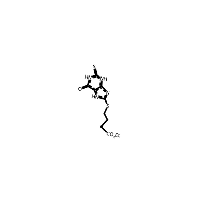 CCOC(=O)CCCSc1nc2[nH]c(=S)[nH]c(=O)c2[nH]1